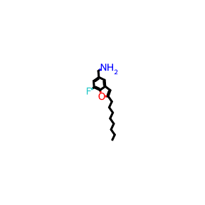 CCCCCCCCc1cc2cc(CN)cc(F)c2o1